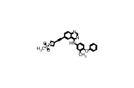 Cc1cc(Nc2ncnc3ccc(C#CC4CN(S(C)(=O)=O)C4)cc23)ccc1Oc1ccccc1